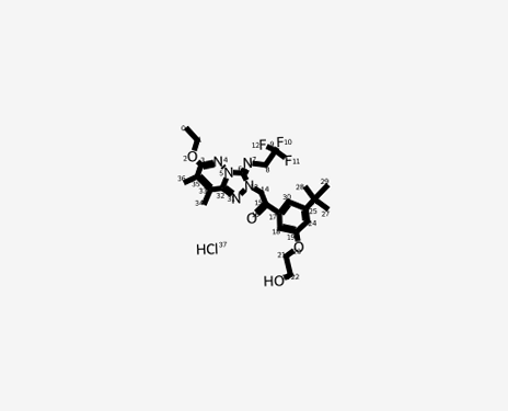 CCOc1nn2c(=NCC(F)(F)F)n(CC(=O)c3cc(OCCO)cc(C(C)(C)C)c3)nc2c(C)c1C.Cl